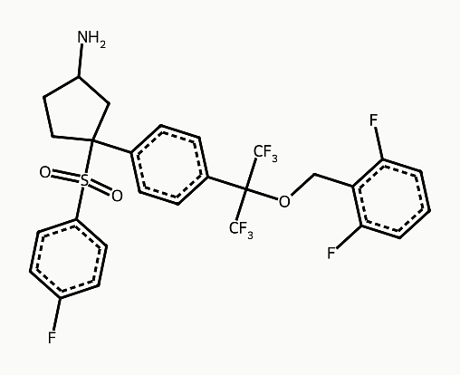 NC1CCC(c2ccc(C(OCc3c(F)cccc3F)(C(F)(F)F)C(F)(F)F)cc2)(S(=O)(=O)c2ccc(F)cc2)C1